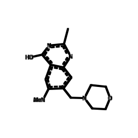 CNc1cc2c(O)nc(C)nc2cc1CN1CCOCC1